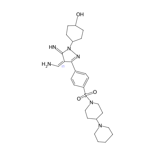 N=C1/C(=C\N)C(c2ccc(S(=O)(=O)N3CCC(N4CCCCC4)CC3)cc2)=NN1C1CCC(O)CC1